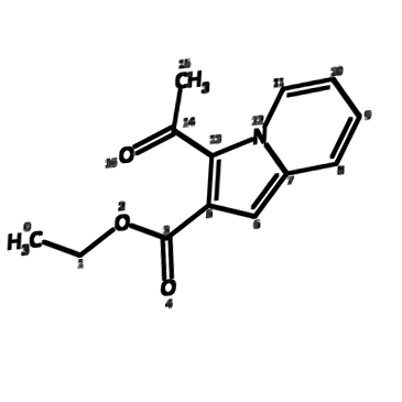 CCOC(=O)c1cc2ccccn2c1C(C)=O